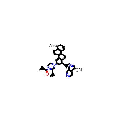 CC(=O)[C@@H]1CC=CC2=C1CCc1c2ccc2c(C3CC3)cc(N3CCN(C(=O)C4CC4)C(C4CC4)C3)cc12.N#Cc1cncc2cnccc12